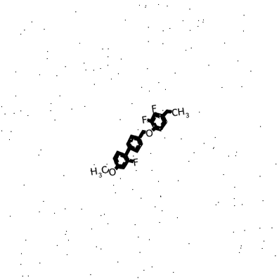 CCc1ccc(OCc2ccc(-c3ccc(OC)cc3F)cc2)c(F)c1F